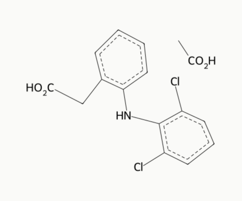 CC(=O)O.O=C(O)Cc1ccccc1Nc1c(Cl)cccc1Cl